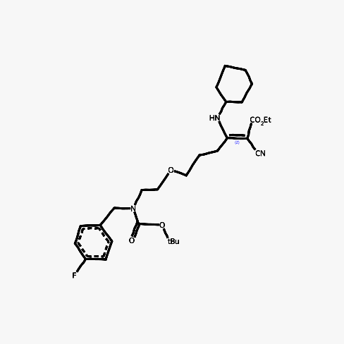 CCOC(=O)/C(C#N)=C(/CCCOCCN(Cc1ccc(F)cc1)C(=O)OC(C)(C)C)NC1CCCCC1